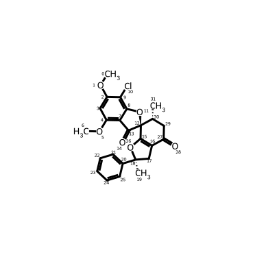 COc1cc(OC)c2c(c1Cl)O[C@]1(C2=O)C2=C(C[C@@](C)(c3ccccc3)O2)C(=O)C[C@H]1C